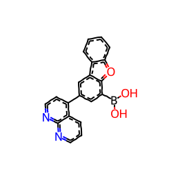 OB(O)c1cc(-c2ccnc3ncccc23)cc2c1oc1ccccc12